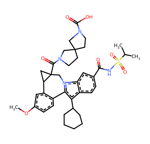 COc1ccc2c(c1)C1CC1(C(=O)N1CCC3(CCN(C(=O)O)C3)C1)Cn1c-2c(C2CCCCC2)c2ccc(C(=O)NS(=O)(=O)C(C)C)cc21